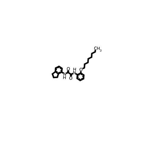 CCCCCCCCOc1ccccc1NC(=O)C(=O)Nc1cccc2c1CCC2